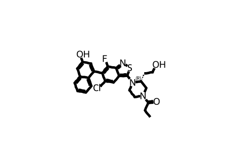 CCC(=O)N1CCN(c2snc3c(F)c(-c4cc(O)cc5ccccc45)c(Cl)cc23)[C@H](CCO)C1